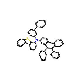 c1ccc(-c2cccc(N(c3ccc4c(c3)c(-c3ccccc3)c(-c3ccccc3)c3ccccc34)c3cccc4c3sc3ccccc34)c2)cc1